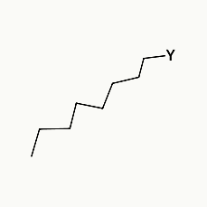 CCCCCCC[CH2][Y]